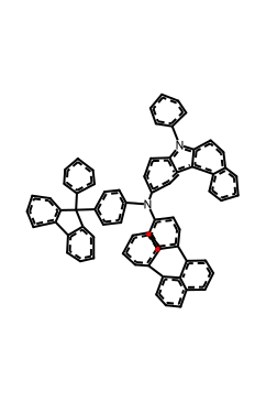 c1ccc(-c2cccc3cccc(-c4ccc(N(c5ccc(C6(c7ccccc7)c7ccccc7-c7ccccc76)cc5)c5ccc6c(c5)c5c7ccccc7ccc5n6-c5ccccc5)cc4)c23)cc1